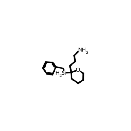 NCCCC1([SiH2]Cc2ccccc2)CCCCO1